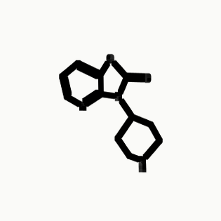 O=c1oc2cccnc2n1C1CCNCC1